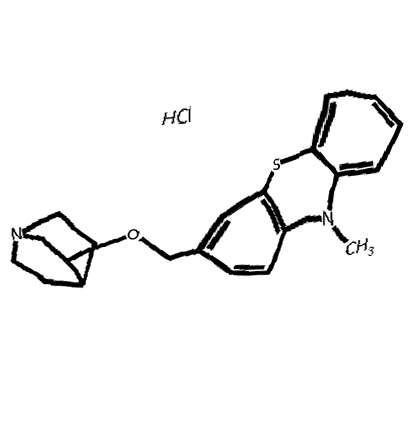 CN1c2ccccc2Sc2cc(COC3CN4CCC3CC4)ccc21.Cl